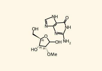 CO[C@H]1C(O)O[C@H](CO)[C@H]1O.Nc1nc2nc[nH]c2c(=O)[nH]1